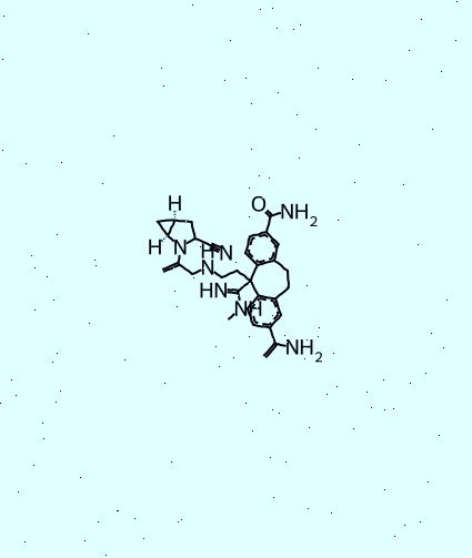 C=C(N)c1ccc2c(c1)CCc1cc(C(N)=O)ccc1C2(CCNCC(=C)N1C(C#N)C[C@@H]2C[C@@H]21)C(=N)NC